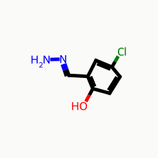 NN=Cc1cc(Cl)ccc1O